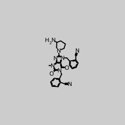 Cn1c(=O)n(Cc2ccccc2C#N)c(=O)c2c1nc(N1CCCC(N)C1)n2Cc1ccccc1C#N